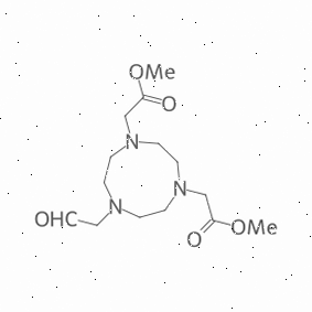 COC(=O)CN1CCN(CC=O)CCN(CC(=O)OC)CC1